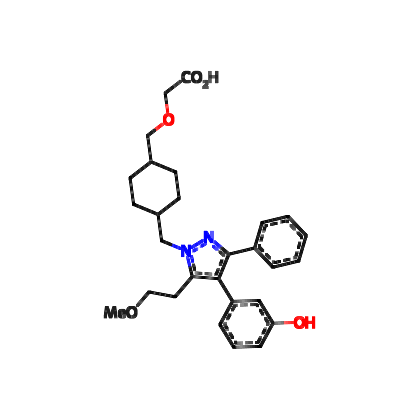 COCCc1c(-c2cccc(O)c2)c(-c2ccccc2)nn1CC1CCC(COCC(=O)O)CC1